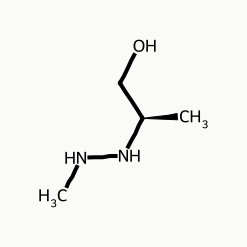 CNN[C@H](C)CO